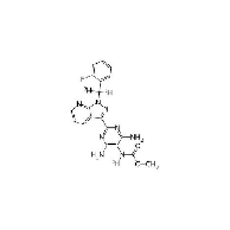 [2H]N(C(=O)OC)c1c(N)nc(-c2nn(C([2H])([2H])c3ccccc3F)c3ncccc23)nc1N